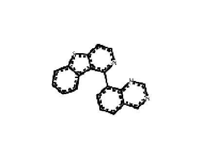 c1cc(-c2nccc3sc4ccccc4c23)c2ncncc2c1